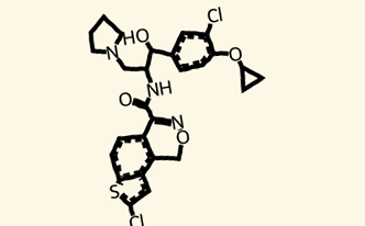 O=C(NC(CN1CCCC1)C(O)c1ccc(OC2CC2)c(Cl)c1)C1=NOCc2c1ccc1sc(Cl)cc21